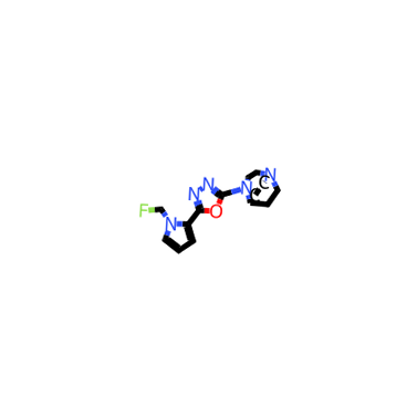 FCn1cccc1-c1nnc(N2CCN3CCC2CC3)o1